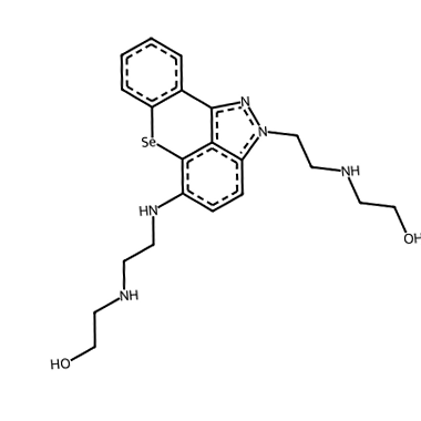 OCCNCCNc1ccc2c3c(nn2CCNCCO)-c2ccccc2[Se]c13